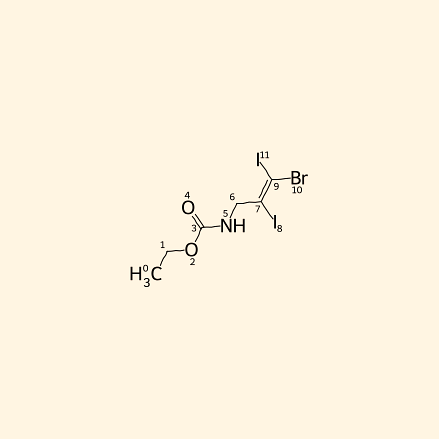 CCOC(=O)NCC(I)=C(Br)I